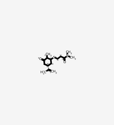 C=C(C)[C@@H]1CC(=O)C(C)C(SCCC(=O)N(C)C)C1